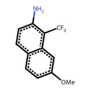 COc1ccc2ccc(N)c(C(F)(F)F)c2c1